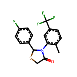 Cc1ccc(C(F)(F)F)cc1N1C(=O)CSC1c1ccc(F)cc1